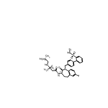 CCNS(=O)(=O)c1ccccc1-c1ccc(CN2C(=O)[C@H](NC(=O)CC(C)(C)NC[C@@H](C)O)CCc3cc(F)ccc32)cc1